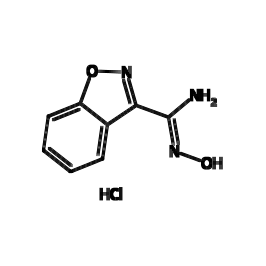 Cl.NC(=NO)c1noc2ccccc12